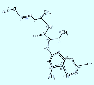 CO/N=C/CC(C)NC(=O)C(Oc1cc(C)c2ncc(I)cc2c1)SC